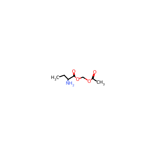 CCC(N)C(=O)OCOC(C)=O